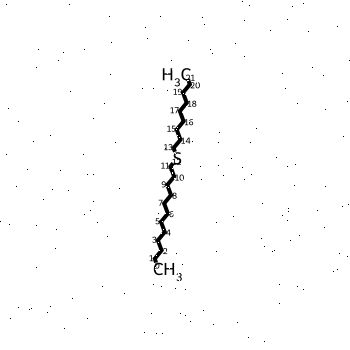 CCCCCCCCCCC[CH]SCCCCCCCCC